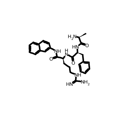 C[C@H](N)C(=O)N[C@@H](Cc1ccccc1)C(=O)N[C@@H](CCCNC(=N)N)C(=O)Nc1ccc2ccccc2c1